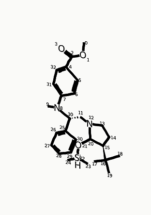 COC(=O)c1ccc(N(C)[C@H](CN2CC[C@@H](C(C)(C)C)C2O[SiH](C)C)c2ccccc2)cc1